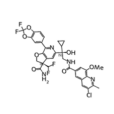 COc1cc(C(=O)NC[C@](O)(c2cc3c(c(-c4ccc5c(c4)OC(F)(F)O5)n2)OC[C@]3(C(N)=O)C(F)F)C2CC2)cc2cc(Cl)c(C)nc12